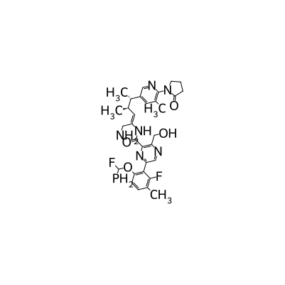 Cc1cc([C@@H](C)[C@H](C)/C=C(\CN)NC(=O)c2nc(-c3c(OC(F)P)ccc(C)c3F)cnc2CO)cnc1N1CCCC1=O